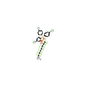 O=S(=O)(OS(c1ccc(Cl)cc1)(c1ccc(Cl)cc1)c1ccc(Cl)cc1)C(F)(F)C(F)(F)C(F)(F)C(F)(F)C(F)(F)C(F)(F)C(F)(F)C(F)(F)F